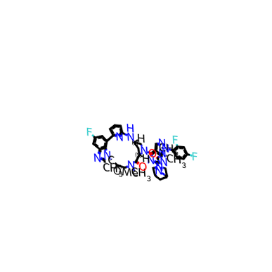 CO[C@H]1CN(C)C(=O)[C@@H]2C[C@@H](CN2c2nc(N3C4CC3CN(C(=O)N(C)C)C4)nc3c2cnn3-c2ccc(F)cc2F)Nc2cccc(n2)-c2cc(F)cc3nc(C)n(c23)C1